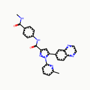 CNC(=O)c1ccc(NC(=O)c2cc(-c3ccc4nccnc4c3)n(-c3cccc(C)n3)n2)cc1